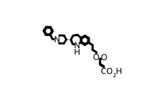 O=C(O)/C=C/C(=O)OCCCc1ccc2c(c1)NC[C@H](C1CCN(Cc3ccccc3)CC1)CC2